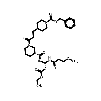 CCOC(=O)C[C@@H](NC(=O)CCOC)NC(=O)[C@@H]1CCCN(C(=O)CCC2CCN(C(=O)OCc3ccccc3)CC2)C1